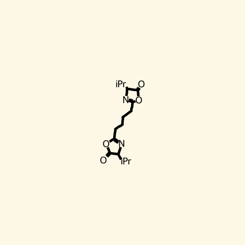 CC(C)C1N=C(CCCCC2=NC(C(C)C)C(=O)O2)OC1=O